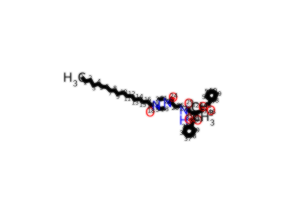 CCCCCCCCCCCCCCCCCC(=O)N1CCN(C(=O)CCNC(=O)C(OC(=O)c2ccccc2)C(C)(C)COC(=O)c2ccccc2)CC1